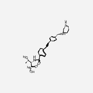 C[C@@H](O)[C@H](NC(=O)c1ccc(C#Cc2ccc(CNC3CCCNC3)cc2)cc1)C(=O)NO